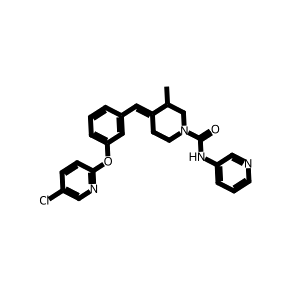 CC1CN(C(=O)Nc2cccnc2)CCC1=Cc1cccc(Oc2ccc(Cl)cn2)c1